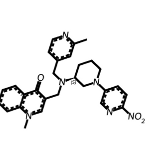 Cc1cc(CN(Cc2cn(C)c3ccccc3c2=O)[C@H]2CCCN(c3ccc([N+](=O)[O-])nc3)C2)ccn1